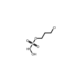 O=S(=O)(NO)OCCCCl